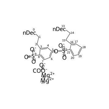 CCCCCCCCCCCCc1ccccc1S(=O)(=O)[O-].CCCCCCCCCCCCc1ccccc1S(=O)(=O)[O-].O=C([O-])[O-].[Mg+2].[Mg+2]